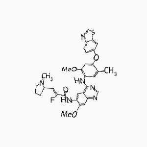 COc1cc2ncnc(Nc3cc(C)c(Oc4ccc5ncsc5c4)cc3OC)c2cc1NC(=O)/C(F)=C/C1CCCN1C